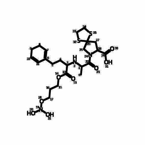 CC(NC(CCC1=CCCC=C1)C(=O)OCCCON(O)O)C(=O)N1CC2(CC1C(=O)O)SCCS2